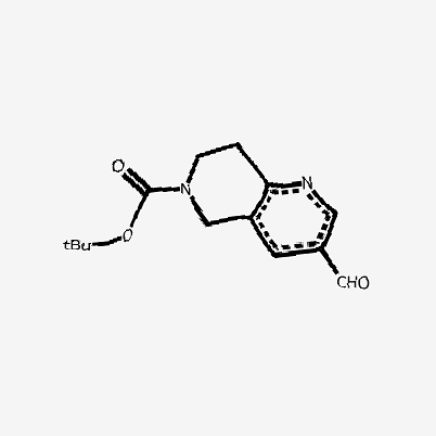 CC(C)(C)OC(=O)N1CCc2ncc(C=O)cc2C1